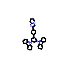 C1=Cn2cc(-c3ccc(-c4cc(-n5c6ccccc6c6ccccc65)cc(-n5c6ccccc6c6ccccc65)c4)cc3)nc2CC1